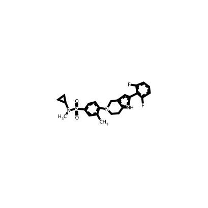 Cc1cc(S(=O)(=O)N(C)C2CC2)ccc1N1CCc2[nH]c(-c3c(F)cccc3F)cc2C1